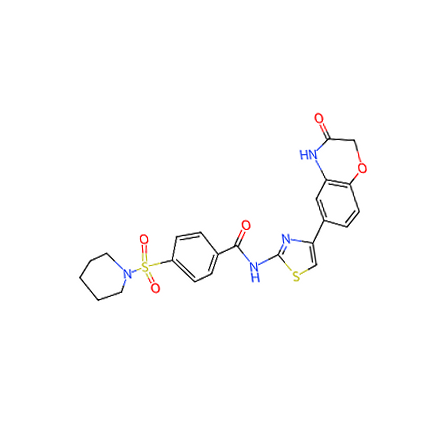 O=C1COc2ccc(-c3csc(NC(=O)c4ccc(S(=O)(=O)N5CCCCC5)cc4)n3)cc2N1